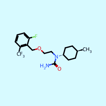 C[C@H]1CC[C@H](N(CCOCc2c(F)cccc2C(F)(F)F)C(N)=O)CC1